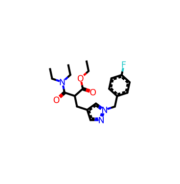 CCOC(=O)C(Cc1cnn(Cc2ccc(F)cc2)c1)C(=O)N(CC)CC